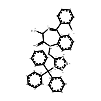 NC1N=C(c2ccccc2F)c2ccccc2N(Cc2nnnn2C(c2ccccc2)(c2ccccc2)c2ccccc2)C1=O